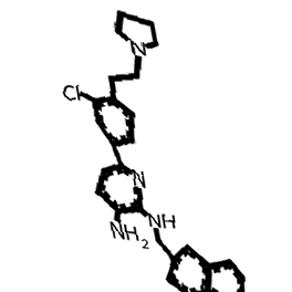 Nc1ccc(-c2ccc(CCN3CCCC3)c(Cl)c2)nc1NCc1ccc2ncccc2c1